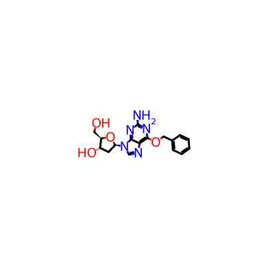 Nc1nc(OCc2ccccc2)c2ncn([C@H]3C[C@H](O)[C@@H](CO)O3)c2n1